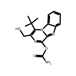 CC(C)(C)c1c(CO)nc(OC(N)=O)c2nc3ccccc3n12